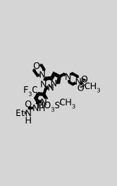 CCNC(=O)Nc1cc(C(F)(F)F)c(-c2nc(N3CCOCC3)c3cc(CN4CCN(S(C)(=O)=O)CC4)cn3n2)cn1.CS(=O)(=O)O